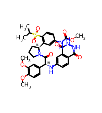 COC(=O)Nc1ccc(S(=O)(=O)C(C)C)c([C@@H]2CCCN2C(=O)[C@H](Nc2ccc3c(=O)[nH][nH]c(=O)c3c2)c2ccc(OC)c(OC)c2)c1